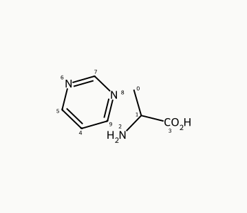 CC(N)C(=O)O.c1cncnc1